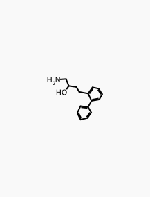 NCC(O)CCc1ccccc1-c1ccccc1